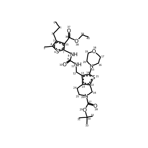 CCCc1c(C)sc(NC(=O)NCc2c(N3CCOCC3)sc3c2CCN(C(=O)OC(C)(C)C)C3)c1C(=O)OCC